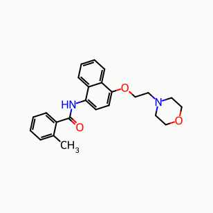 Cc1ccccc1C(=O)Nc1ccc(OCCN2CCOCC2)c2ccccc12